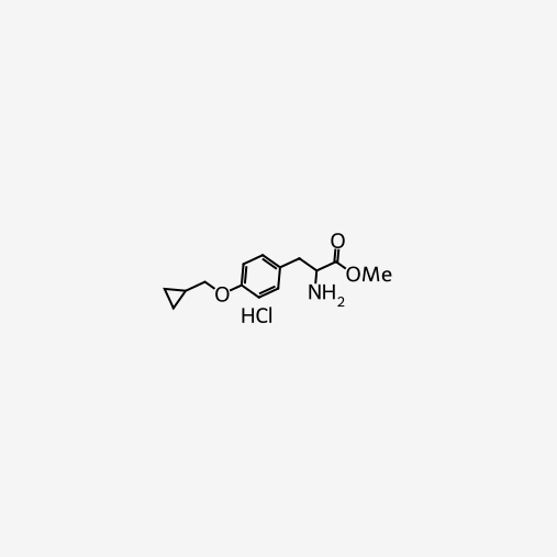 COC(=O)C(N)Cc1ccc(OCC2CC2)cc1.Cl